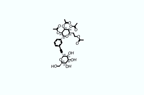 CC(=O)OCC[C@H]1O[C@H](c2cccc(C#C[C@H]3O[C@H](CO)[C@@H](O)[C@H](O)[C@@H]3O)c2)[C@@H](OC(C)=O)[C@@H](OC(C)=O)[C@@H]1OC(C)=O